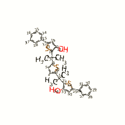 CC(C)(c1ccc(C(C)(C)c2sc(-c3ccccc3)cc2O)s1)c1sc(-c2ccccc2)cc1O